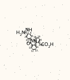 N=C(N)c1ccc(NC(=O)c2ccccc2-c2ccccc2CC(=O)O)cc1